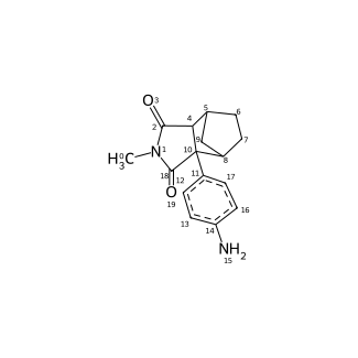 CN1C(=O)C2C3CCC(C3)C2(c2ccc(N)cc2)C1=O